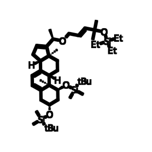 CC[Si](CC)(CC)OC(C)(C)/C=C/CO[C@H](C)C1=CC[C@H]2C3=CC=C4C[C@@H](O[Si](C)(C)C(C)(C)C)C[C@H](O[Si](C)(C)C(C)(C)C)[C@]4(C)[C@H]3CC[C@]12C